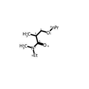 CCCOCC(C)C(=O)N(C)CC